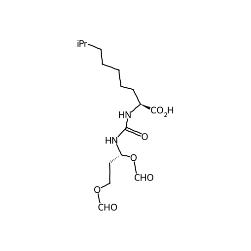 CC(C)CCCCC[C@H](NC(=O)N[C@@H](CCOC=O)OC=O)C(=O)O